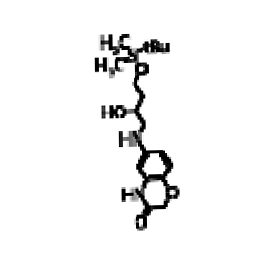 CC(C)(C)[Si](C)(C)OCCC(O)CNc1ccc2c(c1)NC(=O)CO2